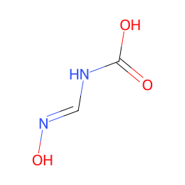 O=C(O)NC=NO